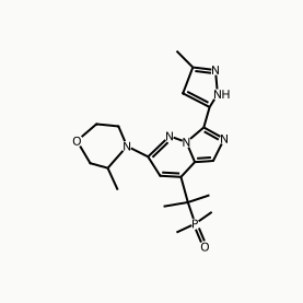 Cc1cc(-c2ncc3c(C(C)(C)P(C)(C)=O)cc(N4CCOCC4C)nn23)[nH]n1